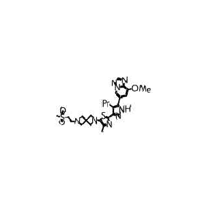 COc1cc(-c2[nH]nc(-c3nc(C)c(N4CC5(CN(CCS(C)(=O)=O)C5)C4)s3)c2C(C)C)cn2ncnc12